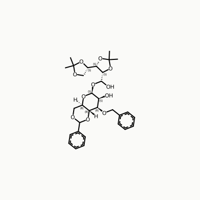 CC1(C)OC[C@@H]([C@@H]2OC(C)(C)O[C@@H]2C(O)O[C@@H]2O[C@@H]3COC(c4ccccc4)O[C@H]3[C@H](OCc3ccccc3)[C@@H]2O)O1